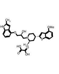 COc1cccc2sc([C@H]3CCN(C[C@H](O)COc4cccc5[nH]c(C)cc45)[C@H](C)C3)cc12.O=C(O)C(=O)O